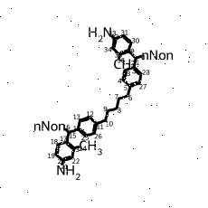 CCCCCCCCCC(c1ccc(CCCCCc2ccc(C(CCCCCCCCC)c3ccc(N)cc3C)cc2)cc1)c1ccc(N)cc1C